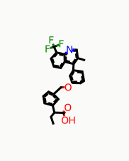 CCC(C(=O)O)c1cccc(COc2cccc(-c3c(C)cnc4c(C(F)(F)F)cccc34)c2)c1